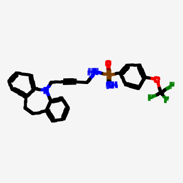 N=S(=O)(NCC#CCN1c2ccccc2CCc2ccccc21)c1ccc(OC(F)(F)F)cc1